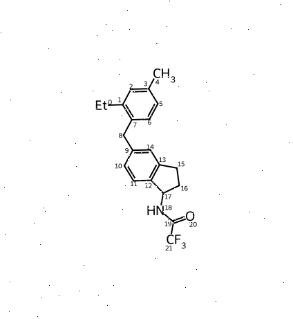 CCc1cc(C)ccc1Cc1ccc2c(c1)CCC2NC(=O)C(F)(F)F